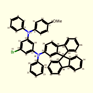 COc1ccc(N(c2ccccc2)c2cc(Br)cc(N(c3ccccc3)c3ccc4c(c3)C3(c5ccccc5-c5ccccc53)c3ccccc3-4)c2)cc1